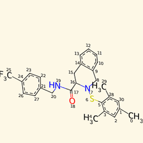 Cc1cc(C)c(SN2Cc3ccccc3CC2C(=O)NCc2ccc(C(F)(F)F)cc2)c(C)c1